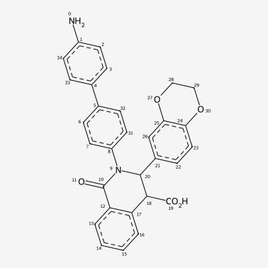 Nc1ccc(-c2ccc(N3C(=O)c4ccccc4C(C(=O)O)C3c3ccc4c(c3)OCCO4)cc2)cc1